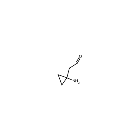 NC1(CC=O)CC1